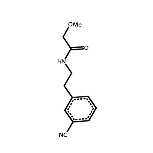 COCC(=O)NCCc1cccc(C#N)c1